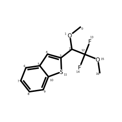 COC(c1cc2ccccc2s1)C(F)(F)OC